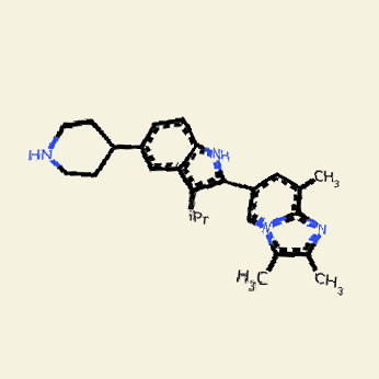 Cc1nc2c(C)cc(-c3[nH]c4ccc(C5CCNCC5)cc4c3C(C)C)cn2c1C